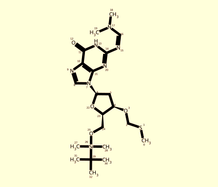 CSCO[C@@H]1C[C@H](n2cnc3c(=O)[nH]c(/N=C\N(C)C)nc32)O[C@@H]1CO[Si](C)(C)C(C)(C)C